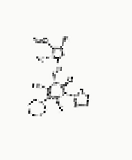 COc1c(C#N)c(N=Nc2c(O)n(C3CCCCC3)c(=S)n(-c3nccs3)c2=O)nn1C(C)C